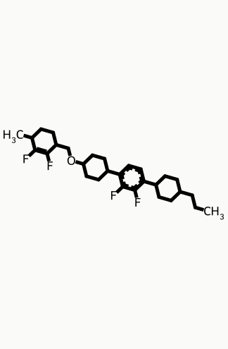 CCCC1CCC(c2ccc(C3CCC(OCC4CCC(C)C(F)=C4F)CC3)c(F)c2F)CC1